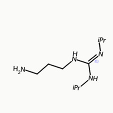 CC(C)/N=C(\NCCCN)NC(C)C